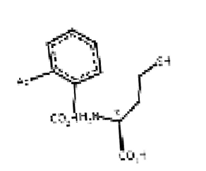 CC(=O)c1ccccc1C(=O)O.N[C@@H](CCS)C(=O)O